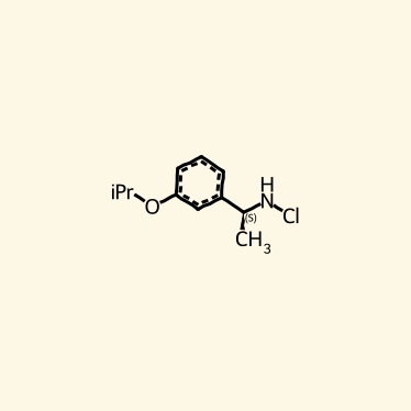 CC(C)Oc1cccc([C@H](C)NCl)c1